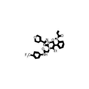 C=CC(=O)N(C)c1ccccc1-c1c(CC)n(CC(=O)Nc2ccc(C(F)(F)F)cc2)c2nc(C3=CCOCC3)nn2c1=O